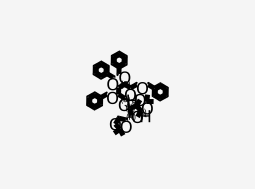 CC1(C)OCC([C@H]2O[C@@H]3OC(C)(C)O[C@@H]3[C@H]2O[C@@H]2OC(COCc3ccccc3)[C@H](OCc3ccccc3)C(OCc3ccccc3)C2OCc2ccccc2)O1